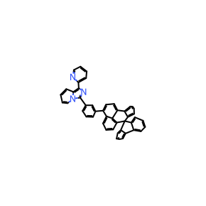 c1ccc(-c2nc(-c3cccc(-c4ccc5c6c(cccc46)C4(c6ccccc6-c6ccccc64)c4ccccc4-5)c3)n3ccccc23)nc1